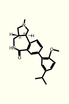 COc1ccc(C(C)C)cc1-c1ccc2c(c1)C(=O)NC[C@@H]1CN(C)C[C@@H]21